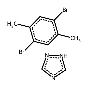 Cc1cc(Br)c(C)cc1Br.c1nc[nH]n1